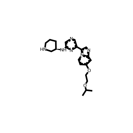 CC(C)OCCOc1ccn2c(-c3cncc(N[C@@H]4CCCNC4)n3)cnc2c1